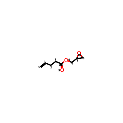 C=CCCC(=O)OCC1CO1